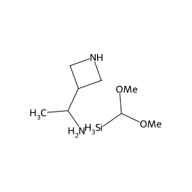 CC(N)C1CNC1.COC([SiH3])OC